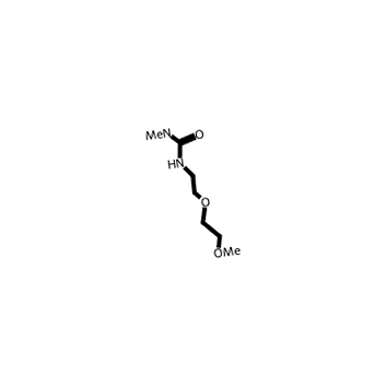 CNC(=O)NCCOCCOC